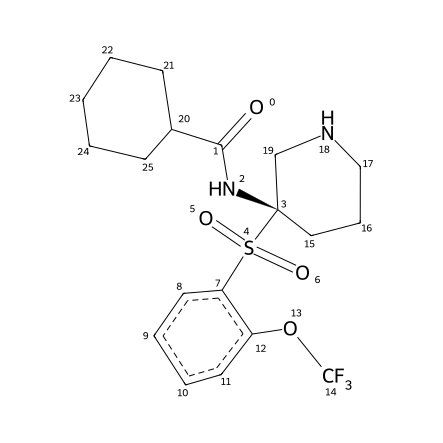 O=C(N[C@]1(S(=O)(=O)c2ccccc2OC(F)(F)F)CCCNC1)C1CCCCC1